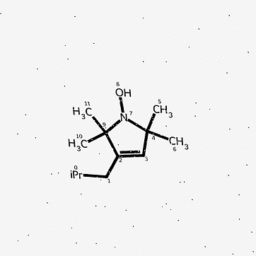 CC(C)CC1=CC(C)(C)N(O)C1(C)C